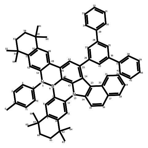 Cc1ccc(N2B3c4cc5c(cc4-n4c6ccc7ccccc7c6c6c(-c7cc(-c8ccccc8)cc(-c8ccccc8)c7)cc(c3c64)-c3cc4c(cc32)C(C)(C)CCC4(C)C)C(C)(C)CCC5(C)C)cc1